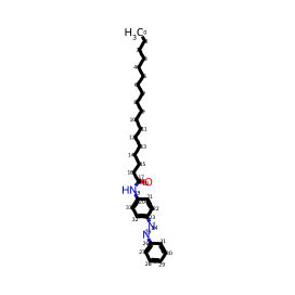 CCCCCCCCCCCCCCCCCC(=O)Nc1ccc(N=Nc2ccccc2)cc1